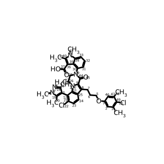 Cc1cc(OCCCc2c3n(c4c(-c5c(C)nn(C)c5C)c(Cl)ccc24)[C@H](C)CN(c2cccc4c2c(C(=O)O)c(C)n4C)C3=O)cc(C)c1Cl